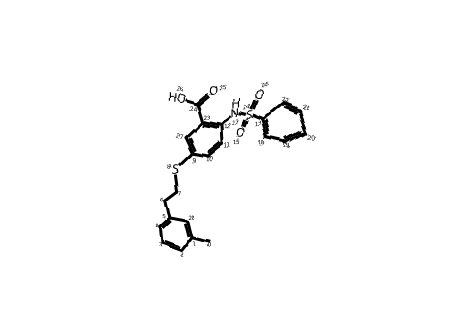 Cc1cccc(CCSc2ccc(NS(=O)(=O)c3ccccc3)c(C(=O)O)c2)c1